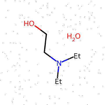 CCN(CC)CCO.O